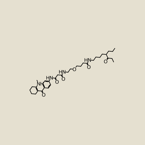 CCCC(CCCCNC(=O)CCCOCCNC(=O)CC(=O)Nc1ccc(C(=O)C2=C(NC)CCCC2)cc1)C(=O)CC